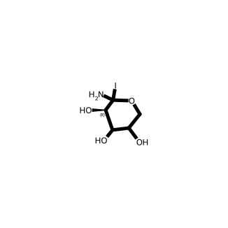 NC1(I)OCC(O)C(O)[C@H]1O